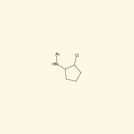 CC(=O)NC1CCCC1Cl